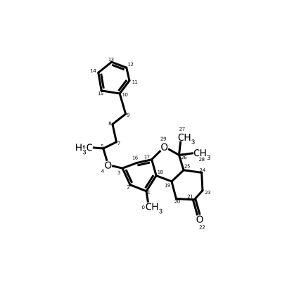 Cc1cc(OC(C)CCCc2ccccc2)cc2c1C1CC(=O)CCC1C(C)(C)O2